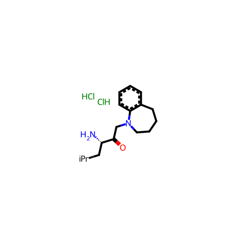 CC(C)C[C@H](N)C(=O)CN1CCCCc2ccccc21.Cl.Cl